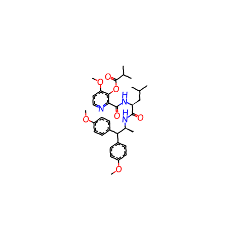 COc1ccc(C(c2ccc(OC)cc2)[C@H](C)NC(=O)[C@H](CC(C)C)NC(=O)c2nccc(OC)c2OC(=O)C(C)C)cc1